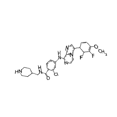 COC1=C(F)C(F)C(c2cnc3c(Nc4ccc(C(=O)NCC5CCNCC5)c(Cl)c4)nccn23)C=C1